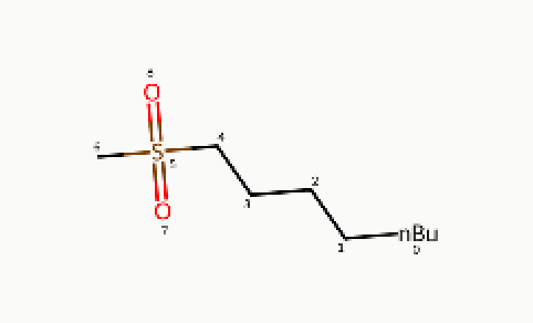 CCCCCCCCS(C)(=O)=O